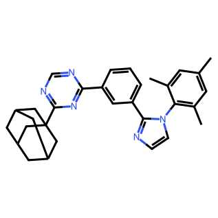 Cc1cc(C)c(-n2ccnc2-c2cccc(-c3ncnc(C45CC6CC(CC(C6)C4)C5)n3)c2)c(C)c1